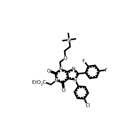 CCOC(=O)Cn1c(=O)c2c(nc(-c3ccc(F)cc3F)n2-c2ccc(Cl)cc2)n(COCC[Si](C)(C)C)c1=O